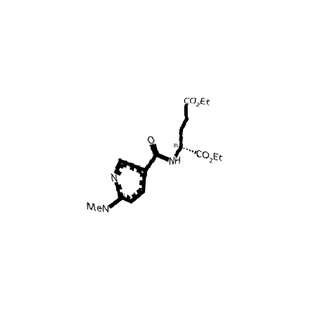 CCOC(=O)CC[C@@H](NC(=O)c1ccc(NC)nc1)C(=O)OCC